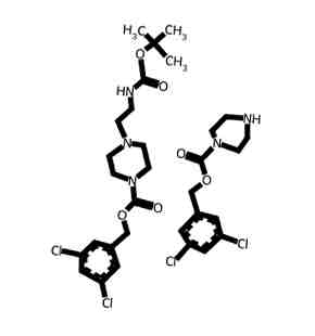 CC(C)(C)OC(=O)NCCN1CCN(C(=O)OCc2cc(Cl)cc(Cl)c2)CC1.O=C(OCc1cc(Cl)cc(Cl)c1)N1CCNCC1